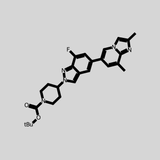 Cc1cn2cc(-c3cc(F)c4nn(C5CCN(C(=O)OC(C)(C)C)CC5)cc4c3)cc(C)c2n1